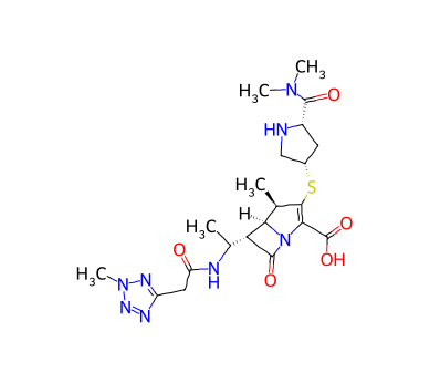 CC(NC(=O)Cc1nnn(C)n1)[C@H]1C(=O)N2C(C(=O)O)=C(S[C@@H]3CN[C@H](C(=O)N(C)C)C3)[C@H](C)[C@H]12